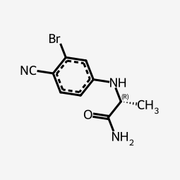 C[C@@H](Nc1ccc(C#N)c(Br)c1)C(N)=O